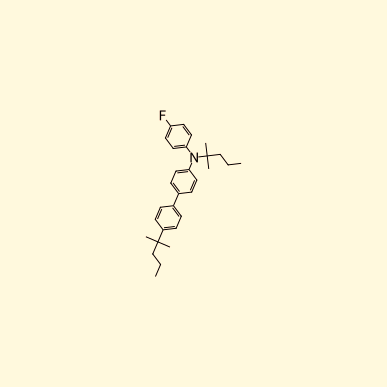 CCCC(C)(C)c1ccc(-c2ccc(N(c3ccc(F)cc3)C(C)(C)CCC)cc2)cc1